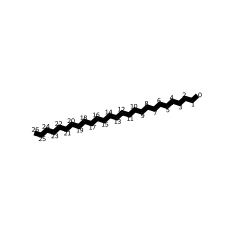 CCCC[CH]CCCCCCCCCCCCCCCCCCCCCC